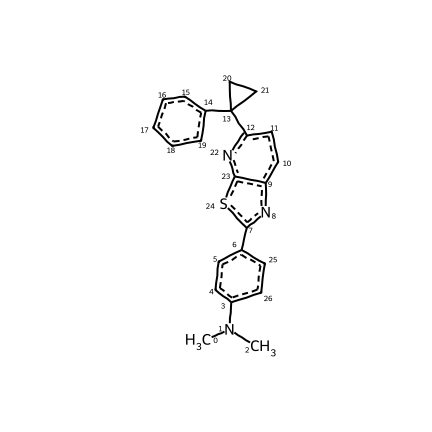 CN(C)c1ccc(-c2nc3ccc(C4(c5ccccc5)CC4)nc3s2)cc1